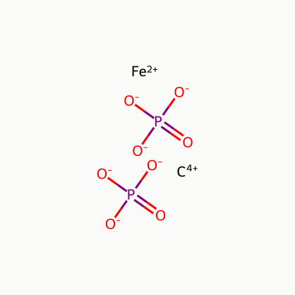 O=P([O-])([O-])[O-].O=P([O-])([O-])[O-].[C+4].[Fe+2]